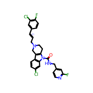 O=C(NCc1ccnc(F)c1)n1c2c(c3ccc(Cl)cc31)CN(C/C=C/c1ccc(F)c(Cl)c1)CC2